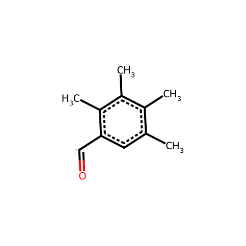 Cc1cc([C]=O)c(C)c(C)c1C